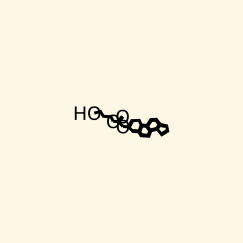 O=C(OCCCO)OC1=CCc2c(ccc3c4c(ccc23)=CC=C4)=C1